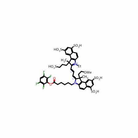 CC[N+]1=C(/C=C/C=C2/N(CCCCCC(=O)Oc3c(F)c(F)cc(F)c3F)c3ccc4c(S(=O)(=O)O)cc(S(=O)(=O)O)cc4c3C2(C)CCOC)C(C)(CCCS(=O)(=O)O)c2c1ccc1c(S(=O)(=O)O)cc(S(=O)(=O)O)cc21